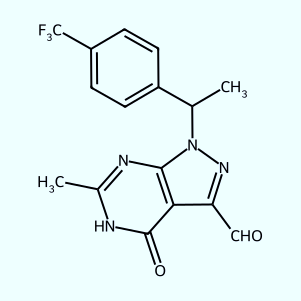 Cc1nc2c(c(C=O)nn2C(C)c2ccc(C(F)(F)F)cc2)c(=O)[nH]1